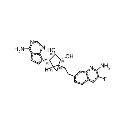 Nc1nc2cc(CC[C@@]34C[C@@H]3[C@@H](n3ccc5c(N)ncnc53)[C@H](O)[C@@H]4O)ccc2cc1F